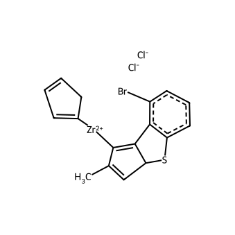 CC1=CC2Sc3cccc(Br)c3C2=[C]1[Zr+2][C]1=CC=CC1.[Cl-].[Cl-]